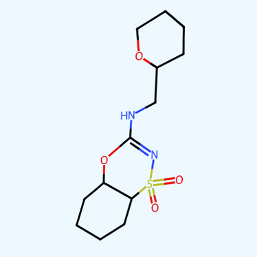 O=S1(=O)N=C(NCC2CCCCO2)OC2CCCCC21